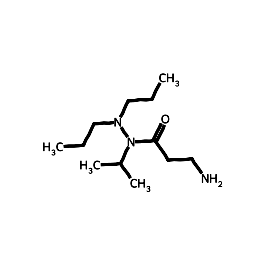 CCCN(CCC)N(C(=O)CCN)C(C)C